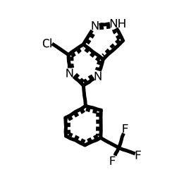 FC(F)(F)c1cccc(-c2nc(Cl)c3n[nH]cc3n2)c1